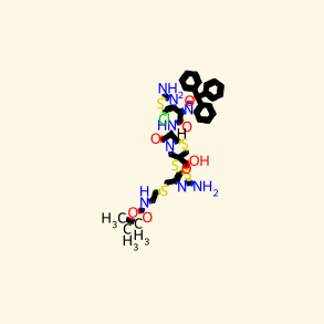 CC(C)(C)OC(=O)NCCSCc1nc(N)sc1SC1(C(=O)O)CS[C@@H]2[C@H](NC(=O)C(=NOC(c3ccccc3)(c3ccccc3)c3ccccc3)c3nc(N)sc3Cl)C(=O)N2C1